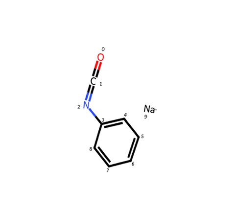 O=C=Nc1ccccc1.[Na]